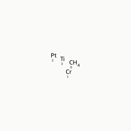 C.[Cr].[Pt].[Ti]